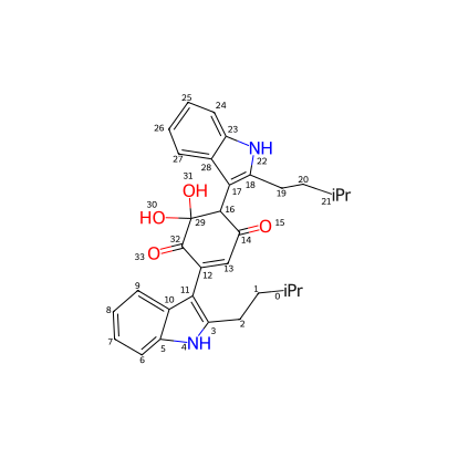 CC(C)CCc1[nH]c2ccccc2c1C1=CC(=O)C(c2c(CCC(C)C)[nH]c3ccccc23)C(O)(O)C1=O